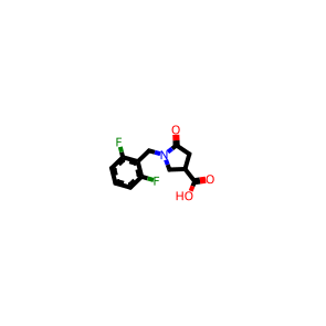 O=C(O)C1CC(=O)N(Cc2c(F)cccc2F)C1